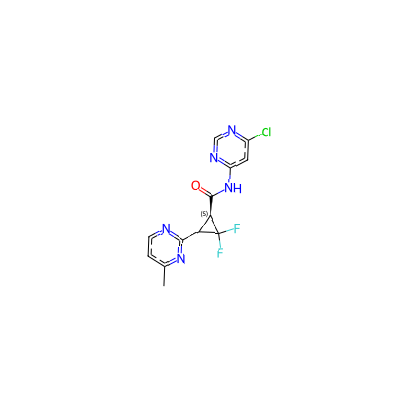 Cc1ccnc(C2[C@@H](C(=O)Nc3cc(Cl)ncn3)C2(F)F)n1